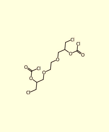 O=C(Cl)OC(CCl)COCCOCC(CCl)OC(=O)Cl